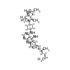 C=C([C@H](CC(C)C)N(C)C)N(C)[C@H]1CC[C@@H](Nc2ncnc(N)c2C(=N)C(/C=C\C)=C/C=C/C/C(C)=C/C=C\C)CC1